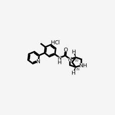 Cc1ccc(NC(=O)N2C[C@@H]3C[C@H]2CN3)cc1-c1ccccn1.Cl